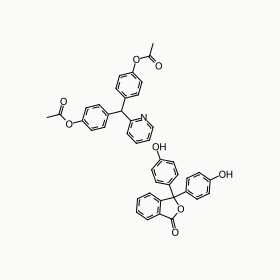 CC(=O)Oc1ccc(C(c2ccc(OC(C)=O)cc2)c2ccccn2)cc1.O=C1OC(c2ccc(O)cc2)(c2ccc(O)cc2)c2ccccc21